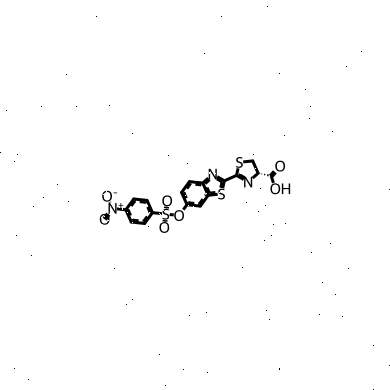 O=C(O)[C@H]1CSC(c2nc3ccc(OS(=O)(=O)c4ccc([N+](=O)[O-])cc4)cc3s2)=N1